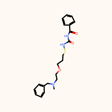 CN(CCOCCCSNC(=O)NC(=O)c1ccccc1)Cc1ccccc1